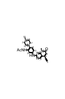 C#Cc1cc(=O)n(C)c2nc(Nc3ccc(N4CCN(C)CC4)c(NC(C)=O)c3)ncc12